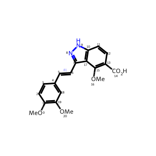 COc1ccc(/C=C/c2n[nH]c3ccc(C(=O)O)c(OC)c23)cc1OC